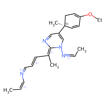 C\C=C/N=C\C=C\C(C)=C1/N=CC([C@]2(C)C=CC(OCC)=CC2)=CN1/N=C\C